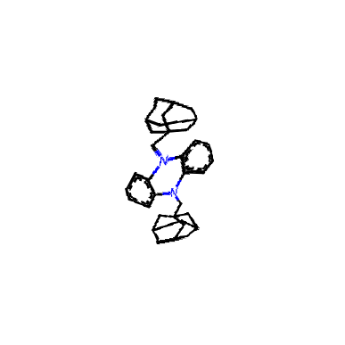 c1ccc2c(c1)N(CC13CC4CC(CC(C4)C1)C3)c1ccccc1N2CC12CC3CC(CC(C3)C1)C2